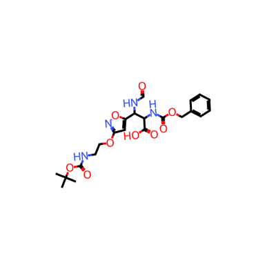 CC(C)(C)OC(=O)NCCOc1cc(C(NC=O)C(NC(=O)OCc2ccccc2)C(=O)O)on1